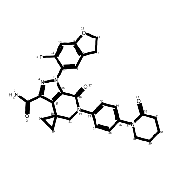 NC(=O)c1nn(-c2cc3c(cc2F)OCC3)c2c1C1(CC1)CN(c1ccc(N3CCCCC3=O)cc1)C2=O